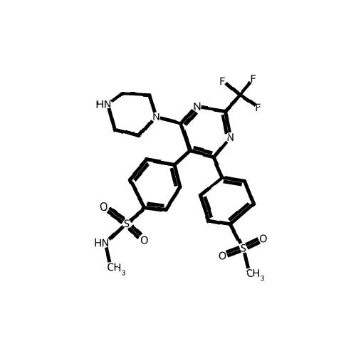 CNS(=O)(=O)c1ccc(-c2c(-c3ccc(S(C)(=O)=O)cc3)nc(C(F)(F)F)nc2N2CCNCC2)cc1